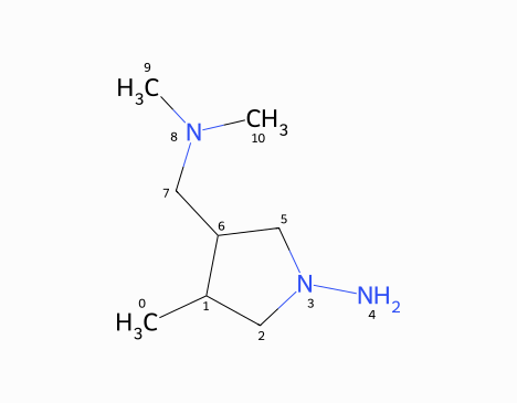 CC1CN(N)CC1CN(C)C